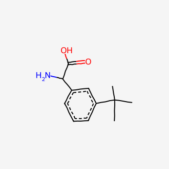 CC(C)(C)c1cccc(C(N)C(=O)O)c1